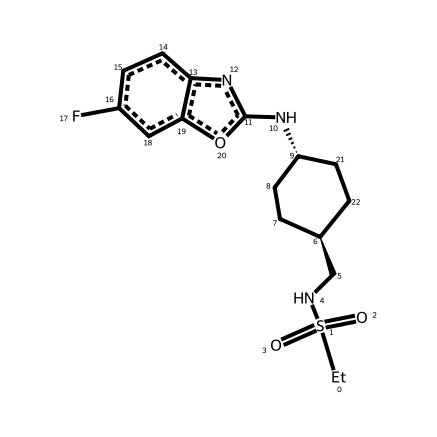 CCS(=O)(=O)NC[C@H]1CC[C@H](Nc2nc3ccc(F)cc3o2)CC1